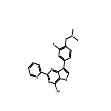 CN(C)Cc1ccc(-c2csc3c(O)nc(-c4ccccn4)nc23)cc1F